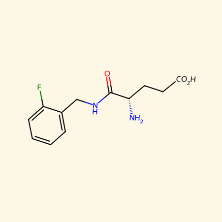 N[C@@H](CCC(=O)O)C(=O)NCc1ccccc1F